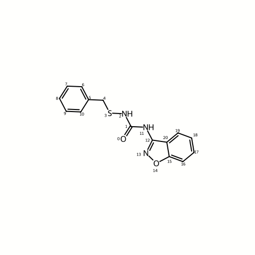 O=C(NSCc1ccccc1)Nc1noc2ccccc12